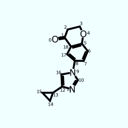 O=C1CCOc2ccc(-n3cnc(C4CC4)c3)cc21